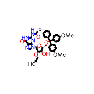 C#CCO[C@@H]1[C@H](O)[C@@H](COC(c2ccccc2)(c2ccc(OC)cc2)c2ccc(OC)cc2)O[C@H]1n1cnc2c(=O)[nH]c(NC(=O)C(C)C)nc21